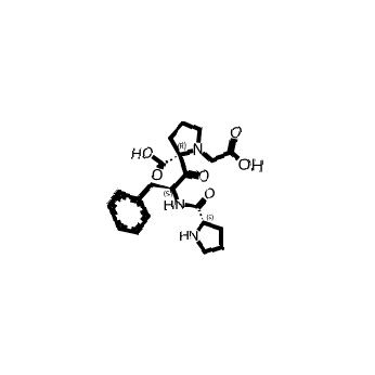 O=C(O)CN1CCC[C@]1(C(=O)O)C(=O)[C@H](Cc1ccccc1)NC(=O)[C@@H]1CCCN1